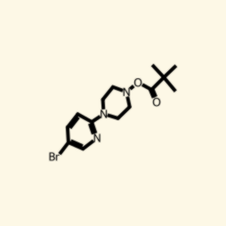 CC(C)(C)C(=O)ON1CCN(c2ccc(Br)cn2)CC1